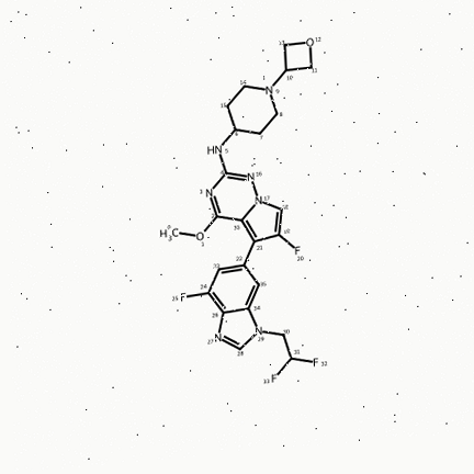 COc1nc(NC2CCN(C3COC3)CC2)nn2cc(F)c(-c3cc(F)c4ncn(CC(F)F)c4c3)c12